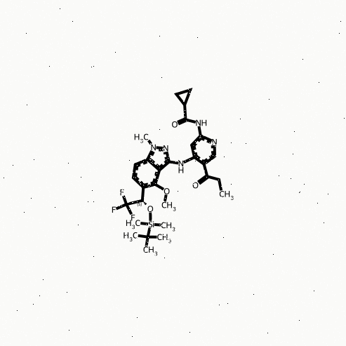 CCC(=O)c1cnc(NC(=O)C2CC2)cc1Nc1nn(C)c2ccc([C@H](O[Si](C)(C)C(C)(C)C)C(F)(F)F)c(OC)c12